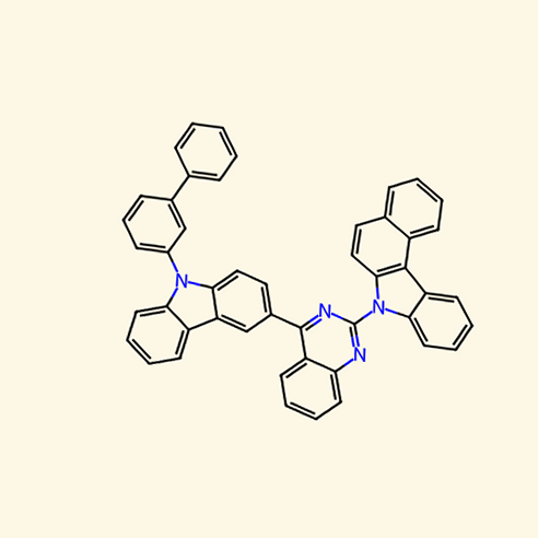 c1ccc(-c2cccc(-n3c4ccccc4c4cc(-c5nc(-n6c7ccccc7c7c8ccccc8ccc76)nc6ccccc56)ccc43)c2)cc1